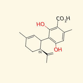 C=C(C)[C@H]1CCC(C)=CC1c1c(O)cc(C)c(C(=O)O)c1O